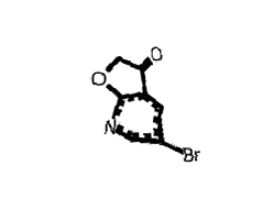 O=C1COc2ncc(Br)cc21